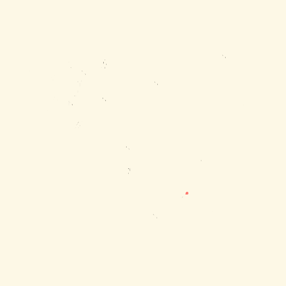 N#Cc1c(-n2c3cc(-n4c5ccccc5c5ccccc54)ccc3c3ccc(-n4c5ccccc5c5ccccc54)cc32)ccc(-c2c(C(F)(F)F)cccc2C(F)(F)F)c1-n1c2cc(-n3c4ccccc4c4ccccc43)ccc2c2ccc(-n3c4ccccc4c4ccccc43)cc21